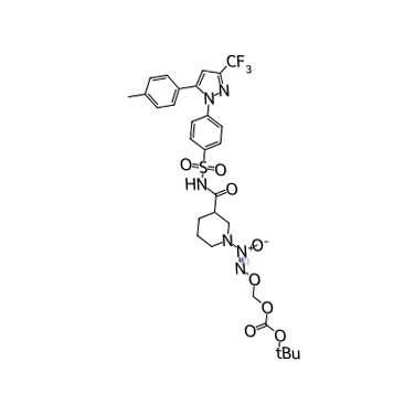 Cc1ccc(-c2cc(C(F)(F)F)nn2-c2ccc(S(=O)(=O)NC(=O)C3CCCN(/[N+]([O-])=N/OCOC(=O)OC(C)(C)C)C3)cc2)cc1